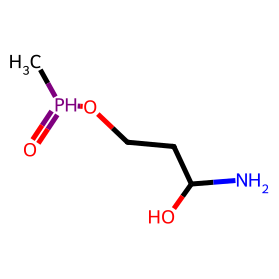 C[PH](=O)OCCC(N)O